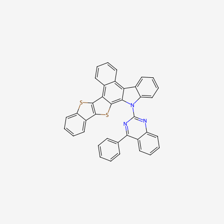 c1ccc(-c2nc(-n3c4ccccc4c4c5ccccc5c5c6sc7ccccc7c6sc5c43)nc3ccccc23)cc1